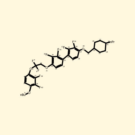 CCCCOc1ccc(OC(F)(F)COc2ccc(-c3ccc(OCC4CCC(CCC)CC4)c(F)c3F)c(F)c2F)c(F)c1F